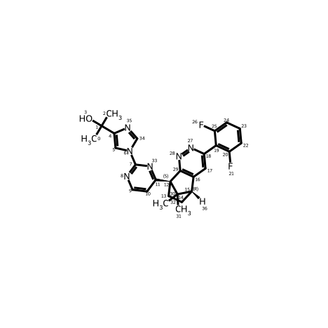 CC(C)(O)c1cn(-c2nccc([C@@]34CC[C@@H](c5cc(-c6c(F)cccc6F)nnc53)C4(C)C)n2)cn1